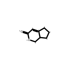 O=C1C=C2CCCC2CO1